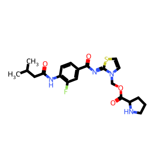 CC(C)CC(=O)Nc1ccc(C(=O)N=c2sccn2COC(=O)C2CCCN2)cc1F